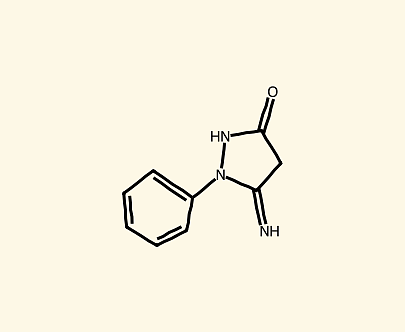 N=C1CC(=O)NN1c1ccccc1